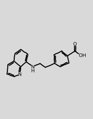 O=C(O)c1ccc(CCNc2cccc3cccnc23)cc1